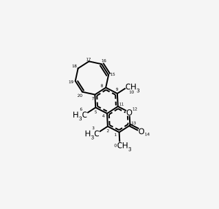 Cc1c(C)c2c(C)c3c(c(C)c2oc1=O)C#CCC/C=C\3